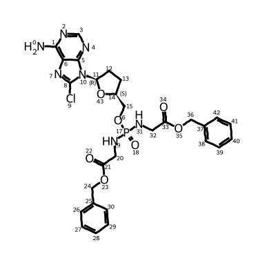 Nc1ncnc2c1nc(Cl)n2[C@H]1CC[C@@H](COP(=O)(NCC(=O)OCc2ccccc2)NCC(=O)OCc2ccccc2)O1